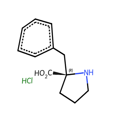 Cl.O=C(O)[C@]1(Cc2ccccc2)CCCN1